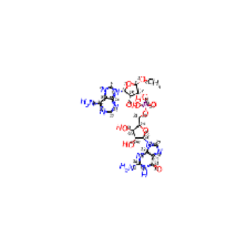 CO[C@H]1O[C@@H](n2cnc3c(N)ncnc32)[C@@H](O)[C@H]1OP(=O)(O)OC[C@H]1O[C@@H](n2cnc3c(=O)[nH]c(N)nc32)[C@@H](O)[C@H]1O